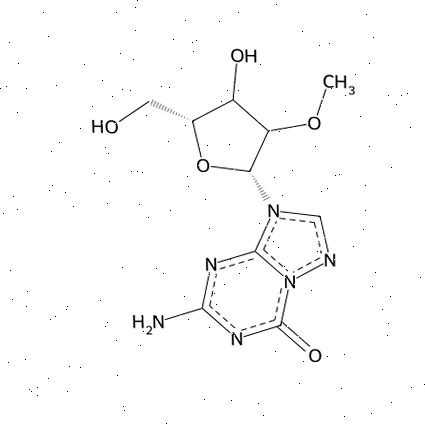 COC1C(O)[C@@H](CO)O[C@H]1n1cnn2c(=O)nc(N)nc12